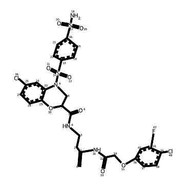 C=C(CCNC(=O)C1CN(S(=O)(=O)c2ccc(S(N)(=O)=O)cc2)c2cc(Cl)ccc2O1)NC(=O)COc1ccc(Cl)c(F)c1